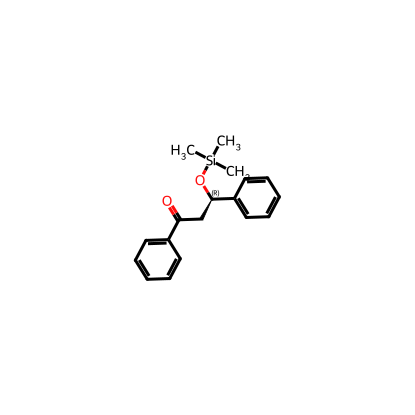 C[Si](C)(C)O[C@H](CC(=O)c1ccccc1)c1ccccc1